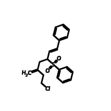 C=C(CCCl)CC(C=Cc1ccccc1)S(=O)(=O)c1ccccc1